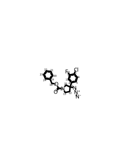 [N-]=[N+]=NC1(c2ccc(Cl)c(F)c2)CCN(C(=O)OCc2ccccc2)C1